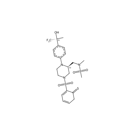 CN(C[C@H]1CN(S(=O)(=O)C2=CC=CCC2=S)CCN1c1ccc([C@](C)(O)C(F)(F)F)cc1)S(C)(=O)=O